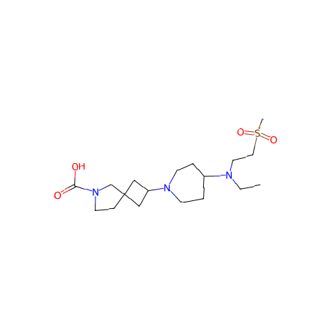 CCN(CCS(C)(=O)=O)C1CCN(C2CC3(CCN(C(=O)O)C3)C2)CC1